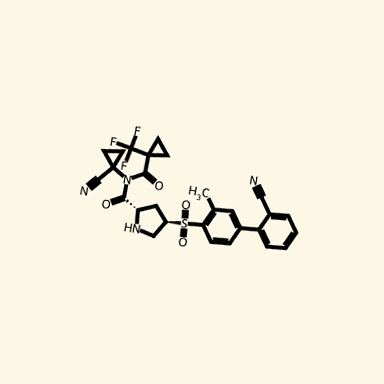 Cc1cc(-c2ccccc2C#N)ccc1S(=O)(=O)[C@H]1CN[C@H](C(=O)N(C(=O)C2(C(F)(F)F)CC2)C2(C#N)CC2)C1